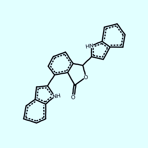 O=C1OC(c2cc3ccccc3[nH]2)c2cccc(-c3cc4ccccc4[nH]3)c21